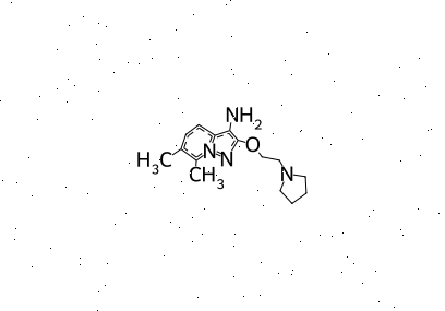 Cc1ccc2c(N)c(OCCN3CCCC3)nn2c1C